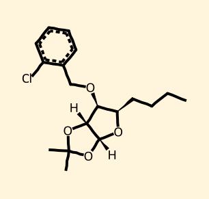 CCCC[C@H]1O[C@@H]2OC(C)(C)O[C@@H]2[C@H]1OCc1ccccc1Cl